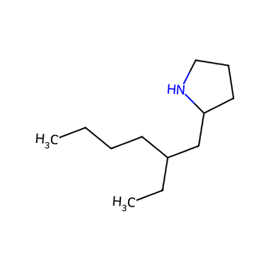 CCCCC(CC)CC1CCCN1